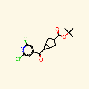 CC(C)(C)OC(=O)C1CC2C(C1)C2C(=O)c1cc(Cl)nc(Cl)c1